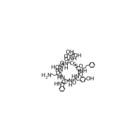 C[C@@H](O)[C@H](NC(=O)C1CSSC[C@H](NC(=O)CCc2ccccc2)C(=O)N[C@@H](Cc2ccc(O)cc2)C(=O)N[C@H](Cc2c[nH]c3ccccc23)C(=O)N[C@@H](CCCCN)C(=O)N[C@@H]([C@@H](C)O)C(=O)N1)C(=O)O